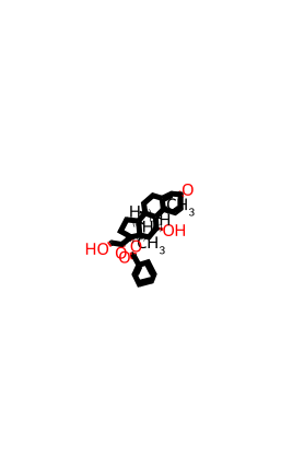 C[C@]12C=CC(=O)C=C1CC[C@@H]1[C@@H]2[C@@H](O)C[C@@]2(C)[C@H]1CC[C@@]2(OC(=O)c1ccccc1)C(=O)CO